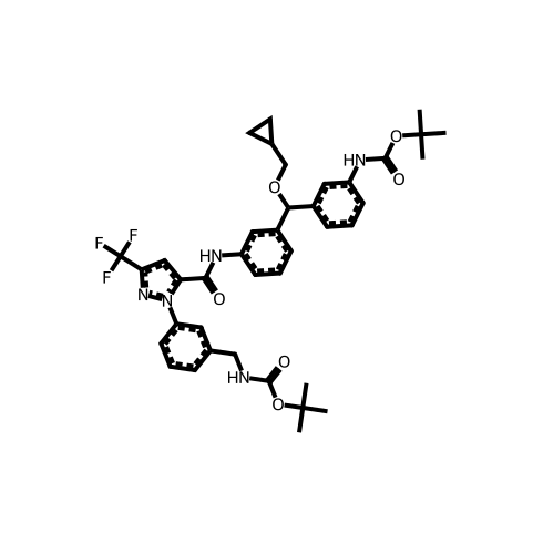 CC(C)(C)OC(=O)NCc1cccc(-n2nc(C(F)(F)F)cc2C(=O)Nc2cccc(C(OCC3CC3)c3cccc(NC(=O)OC(C)(C)C)c3)c2)c1